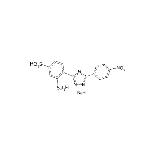 O=[N+]([O-])c1ccc(-n2nnc(-c3ccc(S(=O)(=O)O)cc3S(=O)(=O)O)n2)cc1.[NaH]